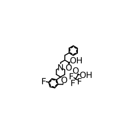 O=C(O)C(Cc1ccccc1)CN1CCC2(CC1)OCc1ccc(F)cc12.O=C(O)C(F)(F)F